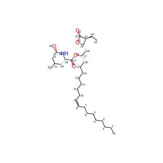 CCCCCCCC/C=C\CCCCCCC[C@@H](C[C@@H]1OC(=O)[C@H]1CC)OC(=O)[C@H](CC(C)C)NC=O